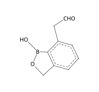 O=CCc1cccc2c1B(O)OC2